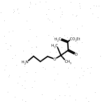 C=C(C(=O)OCC)C(=O)C(C)(C)OCCCN